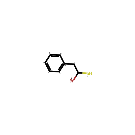 SC(Br)Cc1ccccc1